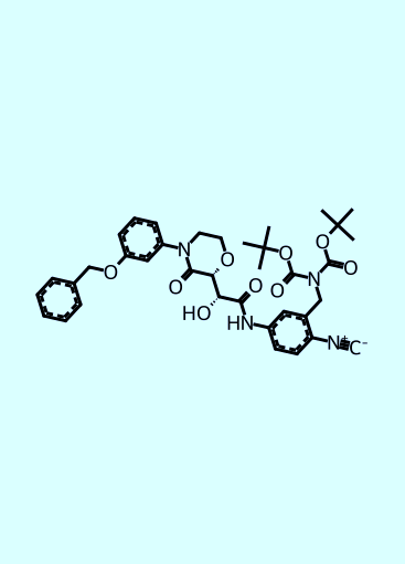 [C-]#[N+]c1ccc(NC(=O)[C@H](O)[C@H]2OCCN(c3cccc(OCc4ccccc4)c3)C2=O)cc1CN(C(=O)OC(C)(C)C)C(=O)OC(C)(C)C